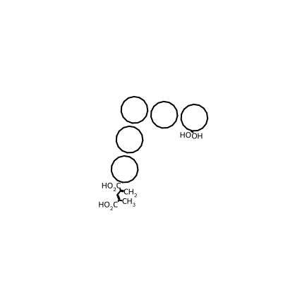 C1CCCCCCCCCCCCCC1.C1CCCCCCCCCCCCCC1.C1CCCCCCCCCCCCCC1.C1CCCCCCCCCCCCCC1.C=C(C=C(C)C(=O)O)C(=O)O.OC1(O)CCCCCCCCCCCCCC1